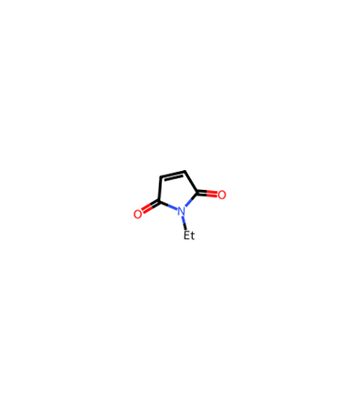 [CH2]CN1C(=O)C=CC1=O